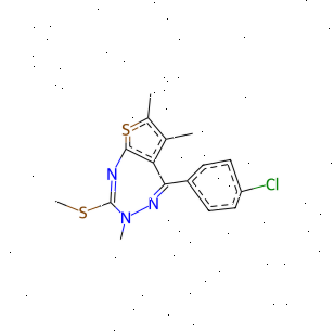 CSC1=Nc2sc(C)c(C)c2C(c2ccc(Cl)cc2)=NN1C